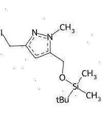 Cn1nc(CI)cc1CO[Si](C)(C)C(C)(C)C